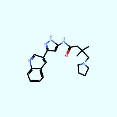 CC(C)(CC(=O)Nc1cc(-c2cnc3ccccc3c2)n[nH]1)CN1CCCC1